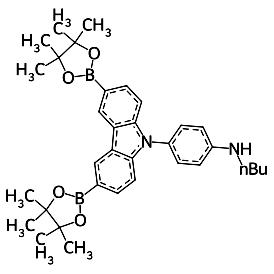 CCCCNc1ccc(-n2c3ccc(B4OC(C)(C)C(C)(C)O4)cc3c3cc(B4OC(C)(C)C(C)(C)O4)ccc32)cc1